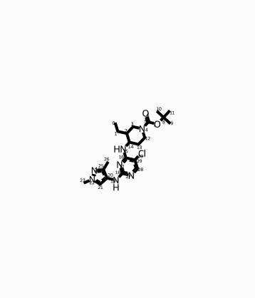 CCC1CN(C(=O)OC(C)(C)C)CCC1Nc1nc(Nc2cn(C)nc2C)ncc1Cl